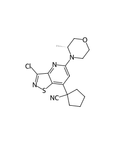 C[C@@H]1COCCN1c1cc(C2(C#N)CCCC2)c2snc(Cl)c2n1